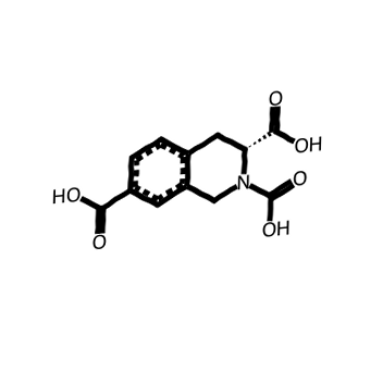 O=C(O)c1ccc2c(c1)CN(C(=O)O)[C@@H](C(=O)O)C2